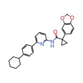 O=C(Nc1cccc(-c2ccc(C3CCCCC3)cc2)n1)C1(c2ccc3c(c2)OCO3)CC1